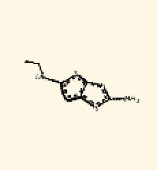 CCNc1cc2sc(N)nc2s1